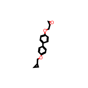 c1cc(-c2ccc(OCC3CO3)cc2)ccc1OCC1CC1